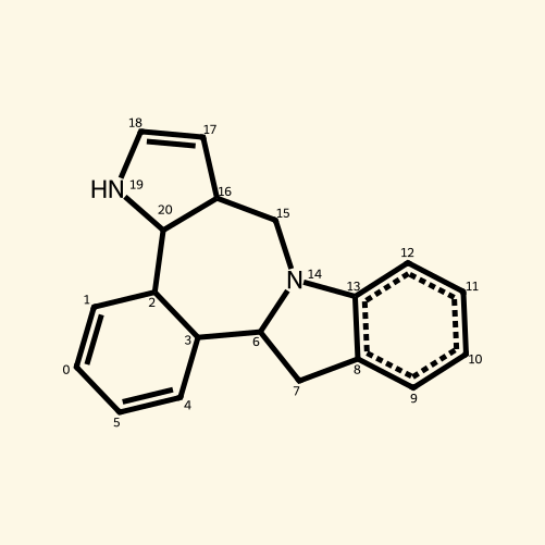 C1=CC2C(C=C1)C1Cc3ccccc3N1CC1C=CNC12